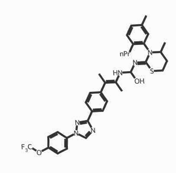 CCCc1ccc(C)cc1N1/C(=N/C(O)N/C(C)=C(\C)c2ccc(-c3ncn(-c4ccc(OC(F)(F)F)cc4)n3)cc2)SCCC1C